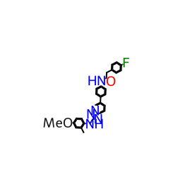 COc1ccc(Nc2nc3ccc(-c4ccc(NC(=O)Cc5ccc(F)cc5)cc4)cn3n2)c(C)c1